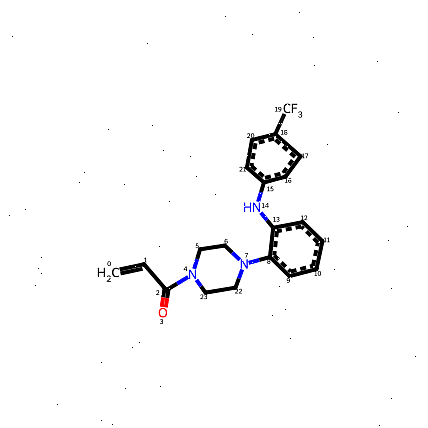 C=CC(=O)N1CCN(c2ccccc2Nc2ccc(C(F)(F)F)cc2)CC1